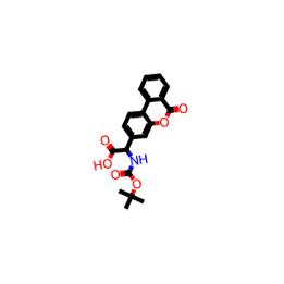 CC(C)(C)OC(=O)NC(C(=O)O)c1ccc2c(c1)oc(=O)c1ccccc12